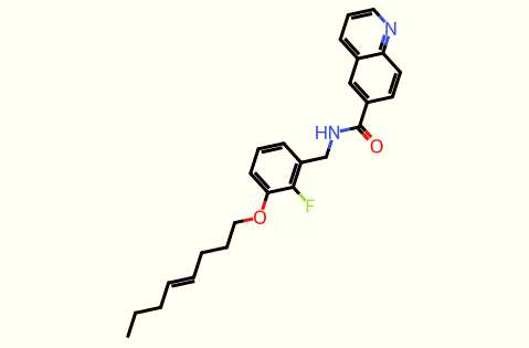 CCCC=CCCCOc1cccc(CNC(=O)c2ccc3ncccc3c2)c1F